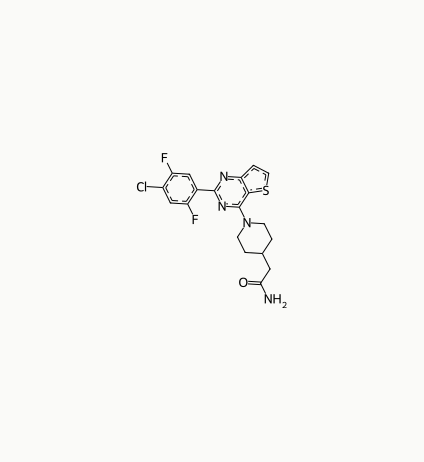 NC(=O)CC1CCN(c2nc(-c3cc(F)c(Cl)cc3F)nc3ccsc23)CC1